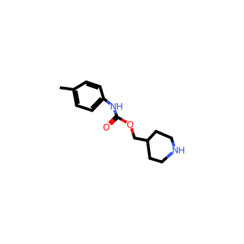 Cc1ccc(NC(=O)OCC2CCNCC2)cc1